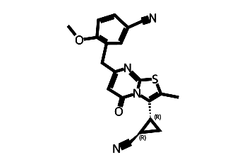 COc1ccc(C#N)cc1Cc1cc(=O)n2c([C@@H]3C[C@H]3C#N)c(C)sc2n1